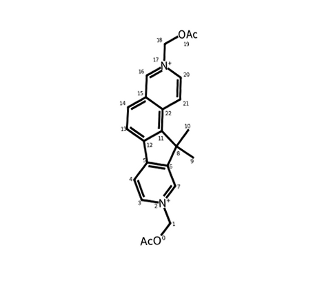 CC(=O)OC[n+]1ccc2c(c1)C(C)(C)c1c-2ccc2c[n+](COC(C)=O)ccc12